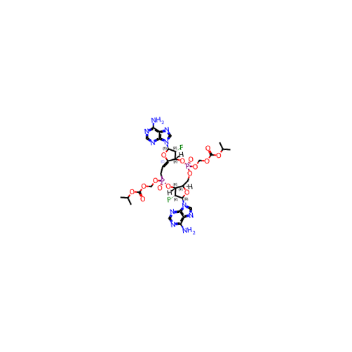 CC(C)OC(=O)OCOP1(=O)C/C=C2/O[C@@H](n3cnc4c(N)ncnc43)[C@H](F)[C@@H]2OP(=O)(OCOC(=O)OC(C)C)OC[C@H]2O[C@@H](n3cnc4c(N)ncnc43)[C@H](F)[C@@H]2O1